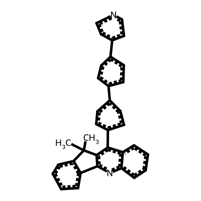 CC1(C)c2ccccc2-c2nc3ccccc3c(-c3ccc(-c4ccc(-c5ccncc5)cc4)cc3)c21